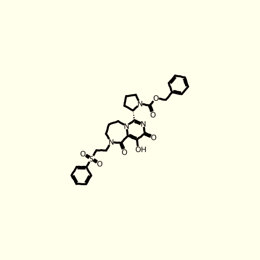 O=C1c2c(O)c(=O)nc([C@@H]3CCCN3C(=O)OCc3ccccc3)n2CCCN1CCS(=O)(=O)c1ccccc1